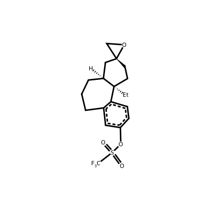 CC[C@@]12CC[C@]3(CO3)C[C@@H]1CCCc1cc(OS(=O)(=O)C(F)(F)F)ccc12